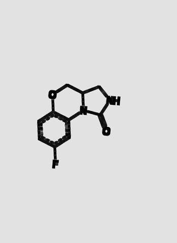 O=C1NCC2COc3ccc(F)cc3N12